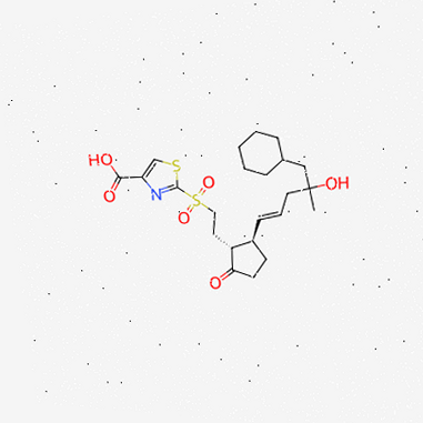 CC(O)(CC=C[C@H]1CCC(=O)[C@@H]1CCS(=O)(=O)c1nc(C(=O)O)cs1)CC1CCCCC1